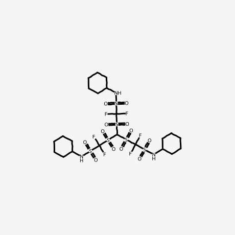 O=S(=O)(NC1CCCCC1)C(F)(F)S(=O)(=O)C(S(=O)(=O)C(F)(F)S(=O)(=O)NC1CCCCC1)S(=O)(=O)C(F)(F)S(=O)(=O)NC1CCCCC1